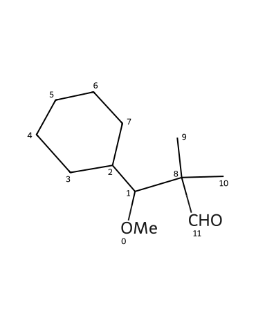 COC(C1CCCCC1)C(C)(C)C=O